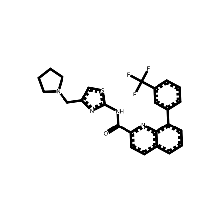 O=C(Nc1nc(CN2CCCC2)cs1)c1ccc2cccc(-c3cccc(C(F)(F)F)c3)c2n1